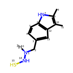 [3H]N(Cc1ccc2[nH]c(C)c(C)c2c1)NS